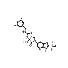 O=C(NCc1cc(F)cc(Cl)c1)OC1(O)CCN(c2cnc3[nH]c(C(F)(F)F)nc3c2)C1=O